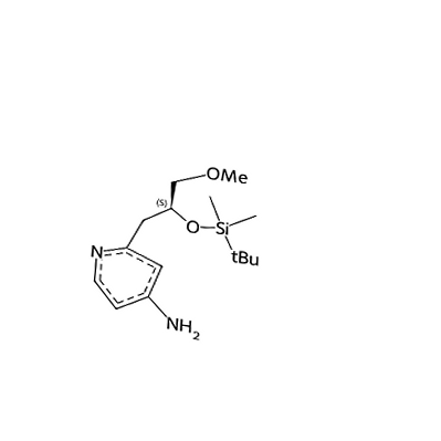 COC[C@H](Cc1cc(N)ccn1)O[Si](C)(C)C(C)(C)C